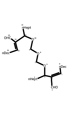 CCCCCCCCCCC=C(C=O)C(CCCCCCC)OCOCOC(CCCCCCC)C(C=O)=CCCCCCCCCCC